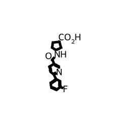 O=C(NC1CCC(C(=O)O)C1)c1ccc(-c2cccc(F)c2)nc1